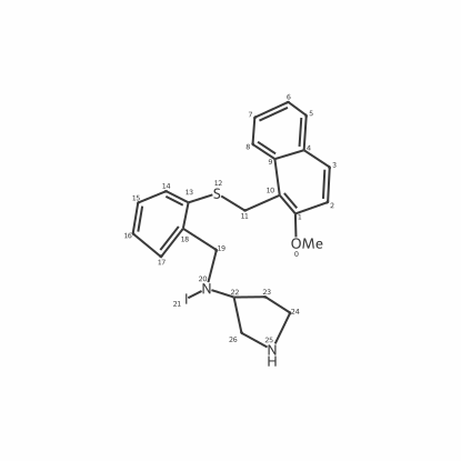 COc1ccc2ccccc2c1CSc1ccccc1CN(I)C1CCNC1